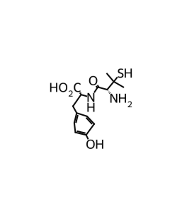 CC(C)(S)[C@H](N)C(=O)N[C@@H](Cc1ccc(O)cc1)C(=O)O